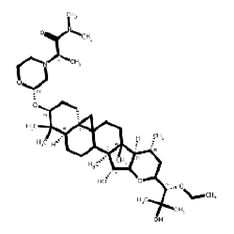 CCO[C@@H](C1C[C@@H](C)[C@H]2C(O1)[C@H](O)[C@@]1(C)C3CC[C@H]4C(C)(C)[C@@H](O[C@H]5CN([C@H](C)C(=O)N(C)C)CCO5)CC[C@@]45CC35CC[C@]21C)C(C)(C)O